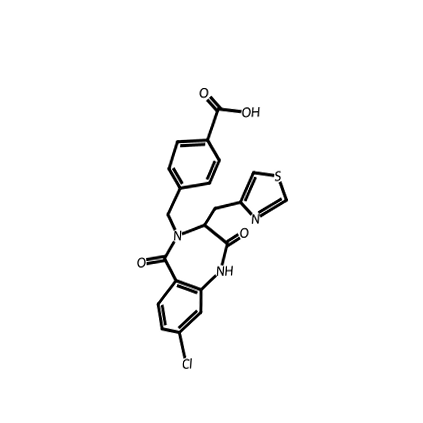 O=C(O)c1ccc(CN2C(=O)c3ccc(Cl)cc3NC(=O)C2Cc2cscn2)cc1